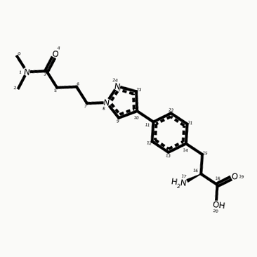 CN(C)C(=O)CCCn1cc(-c2ccc(C[C@H](N)C(=O)O)cc2)cn1